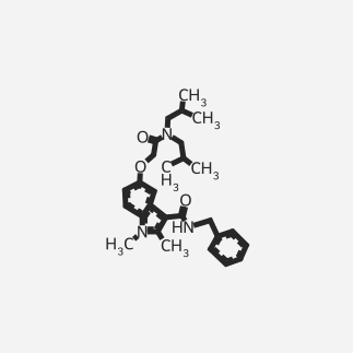 Cc1c(C(=O)NCc2ccccc2)c2cc(OCC(=O)N(CC(C)C)CC(C)C)ccc2n1C